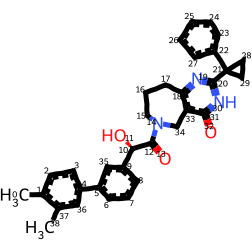 Cc1ccc(-c2cccc([C@@H](O)C(=O)N3CCCc4nc(C5(c6ccccc6)CC5)[nH]c(=O)c4C3)c2)cc1C